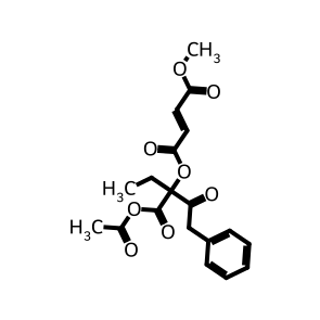 CCC(OC(=O)C=CC(=O)OC)(C(=O)Cc1ccccc1)C(=O)OC(C)=O